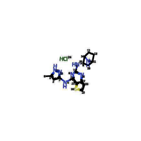 Cc1cc(Nc2nc(N[C@H]3CC4CCC3N4)nc3ccsc23)n[nH]1.Cl